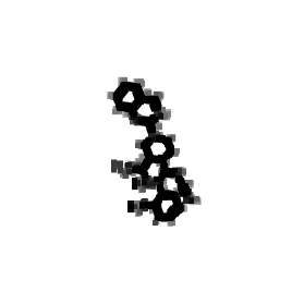 Cc1ccccc1N/C(=N\C#N)N1CCN(c2ncc3ccccc3n2)CC1C(C)C